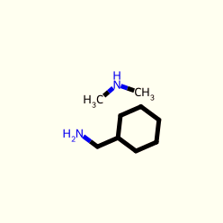 CNC.NCC1CCCCC1